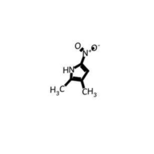 Cc1cc([N+](=O)[O-])[nH]c1C